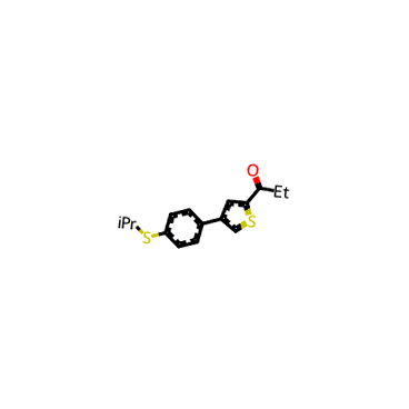 CCC(=O)c1cc(-c2ccc(SC(C)C)cc2)cs1